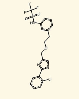 O=S(=O)(Nc1cccc(CCOCc2csc(-c3ccccc3Cl)n2)c1)C(F)(F)F